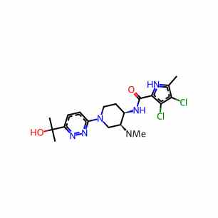 CN[C@H]1CN(c2ccc(C(C)(C)O)nn2)CC[C@H]1NC(=O)c1[nH]c(C)c(Cl)c1Cl